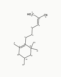 CC1=C(CCCC=C(C#N)C(=O)O)C(C)(C)CC(C)C1